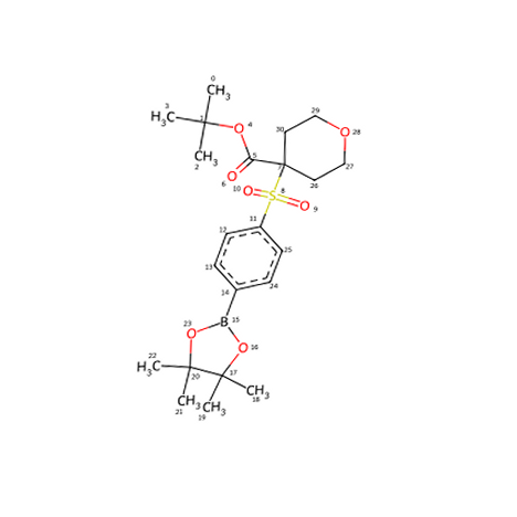 CC(C)(C)OC(=O)C1(S(=O)(=O)c2ccc(B3OC(C)(C)C(C)(C)O3)cc2)CCOCC1